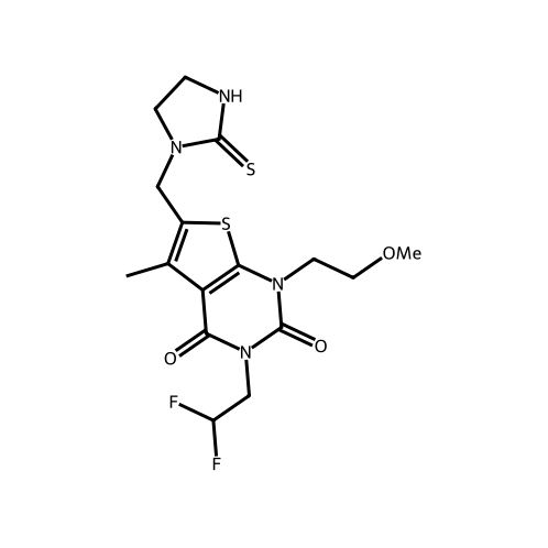 COCCn1c(=O)n(CC(F)F)c(=O)c2c(C)c(CN3CCNC3=S)sc21